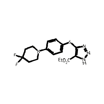 CCOC(=O)c1[nH]nnc1Sc1ccc(N2CCC(F)(F)CC2)cc1